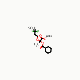 CCCCOC(=O)C(OCCC(F)(F)S(=O)(=O)O)(OC(=O)C1CCCCC1)C(F)(F)F